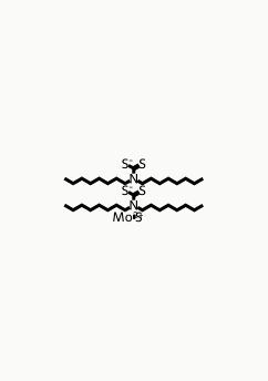 CCCCCCCCN(CCCCCCCC)C(=S)[S-].CCCCCCCCN(CCCCCCCC)C(=S)[S-].[S]=[Mo+2]